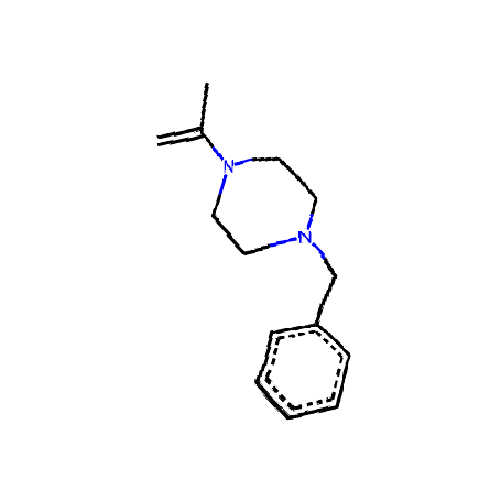 C=C(C)N1CCN(Cc2ccccc2)CC1